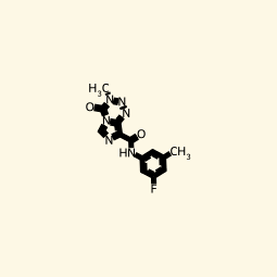 Cc1cc(F)cc(NC(=O)c2ncn3c(=O)n(C)nnc23)c1